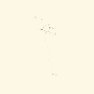 C=CCOC(=O)N(CCCCCCCCCCCCCC)C(C)C(=O)O